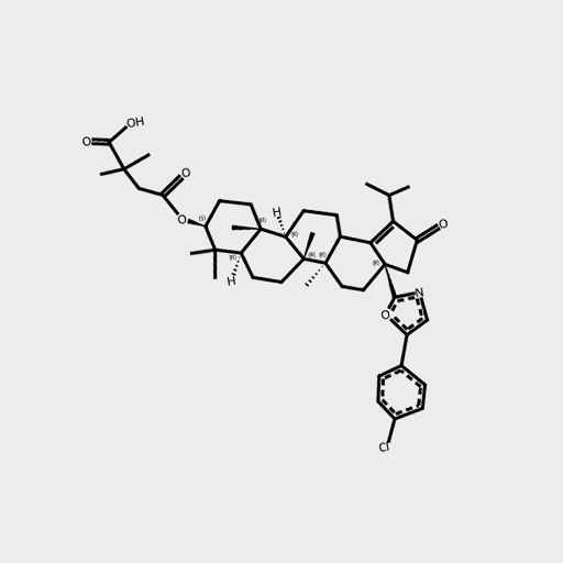 CC(C)C1=C2C3CC[C@@H]4[C@@]5(C)CC[C@H](OC(=O)CC(C)(C)C(=O)O)C(C)(C)[C@@H]5CC[C@@]4(C)[C@]3(C)CC[C@@]2(c2ncc(-c3ccc(Cl)cc3)o2)CC1=O